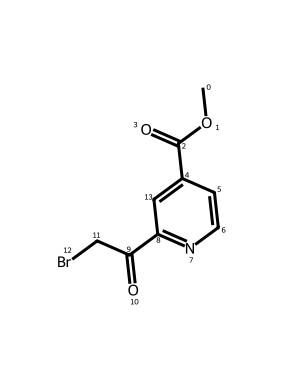 COC(=O)c1ccnc(C(=O)CBr)c1